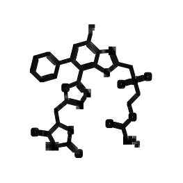 NC(=O)OCCS(=O)(=O)Cc1nc2c(F)cc(-c3ccccc3)c(-c3nnc(CC4SC(=O)NC4=O)o3)c2s1